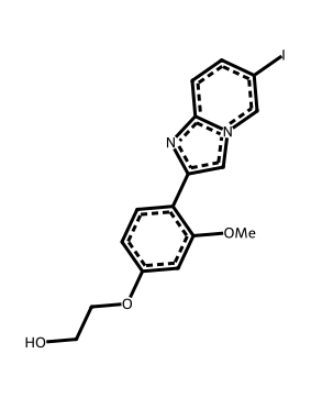 COc1cc(OCCO)ccc1-c1cn2cc(I)ccc2n1